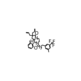 C=CCC1(CC=C)C[C@H]2[C@H](c3ccccc3C)N(C(=O)N(C)Cc3cc(C)cc(C(F)(F)F)c3)CCN2C1=O